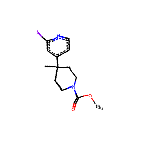 CC(C)(C)OC(=O)N1CCC(C)(c2ccnc(I)c2)CC1